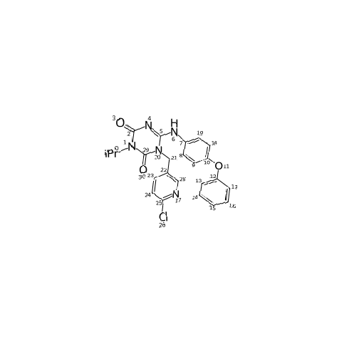 CC(C)n1c(=O)nc(Nc2ccc(Oc3ccccc3)cc2)n(Cc2ccc(Cl)nc2)c1=O